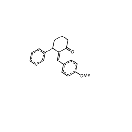 COc1ccc(C=C2C(=O)CCCC2c2cccnc2)cc1